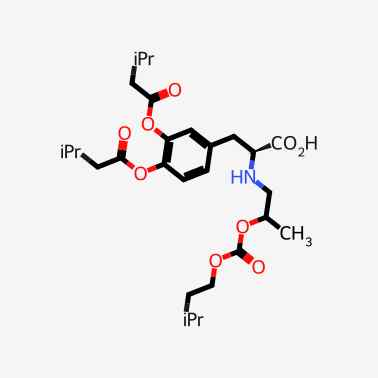 CC(C)CCOC(=O)OC(C)CN[C@@H](Cc1ccc(OC(=O)CC(C)C)c(OC(=O)CC(C)C)c1)C(=O)O